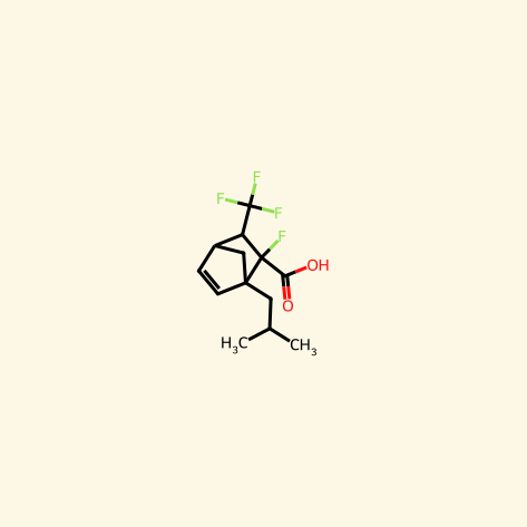 CC(C)CC12C=CC(C1)C(C(F)(F)F)C2(F)C(=O)O